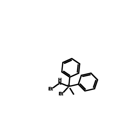 CCNP(C)(CC)(c1ccccc1)c1ccccc1